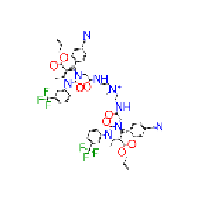 C=CCOC(=O)C1=C(C)N(c2cccc(C(F)(F)F)c2)C(=O)N(CC(=O)NCC[N+](C)(C)CCNC(=O)CN2C(=O)N(c3cccc(C(F)(F)F)c3)C(C)=C(C(=O)OCC=C)[C@H]2c2ccc(C#N)cc2)[C@@H]1c1ccc(C#N)cc1